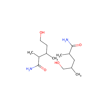 CC(CCO)C(C)C(N)=O.CC(CO)CC(C)C(N)=O